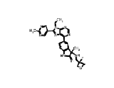 CCn1c(-c2cnc(C)nc2)nc2c(-c3ccc4c(c3)C(C)(NCC3(F)COC3)C(=O)N4)ncnc21